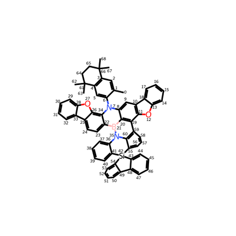 Cc1cc2c(cc1N1c3cc4c(oc5ccccc54)c4c3B(c3ccc5c(oc6ccccc65)c31)N1c3ccccc3[Si]3(c5ccccc5-c5ccccc53)c3cccc-4c31)C(C)(C)CCC2(C)C